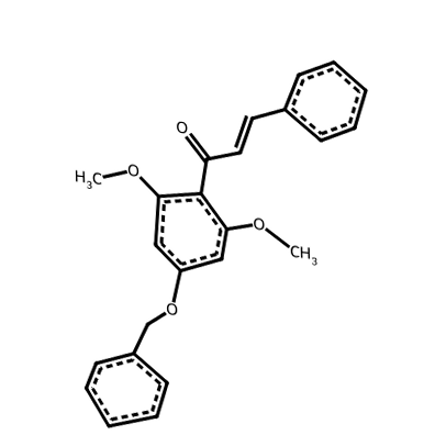 COc1cc(OCc2ccccc2)cc(OC)c1C(=O)C=Cc1ccccc1